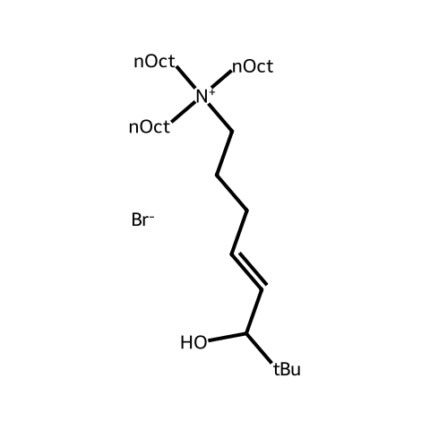 CCCCCCCC[N+](CCCC=CC(O)C(C)(C)C)(CCCCCCCC)CCCCCCCC.[Br-]